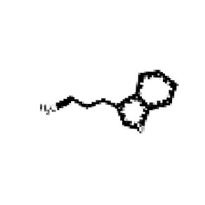 C=CCCc1coc2ccccc12